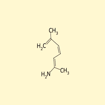 C=C(C)/C=C\C=C(/C)N